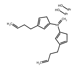 C=CCCC1=CC[C]([Hf](=[CH2])[C]2=CC(CCC=C)=CC2)=C1.CC(C)O.CC(C)O